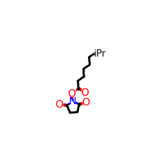 CC(C)CCCCCC(=O)ON1C(=O)CCC1=O